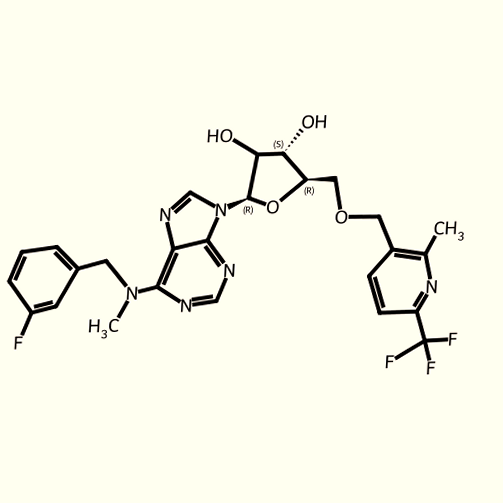 Cc1nc(C(F)(F)F)ccc1COC[C@H]1O[C@@H](n2cnc3c(N(C)Cc4cccc(F)c4)ncnc32)C(O)[C@@H]1O